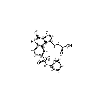 O=C(O)CCc1c[nH]c2c(=O)[nH]c3ccc(S(=O)(=O)Cc4ccccn4)cc3c12